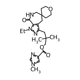 CCn1nc(CC(C)(C)COC(=O)c2cn(C)cn2)c2c1C(=O)NCC1(CCOCC1)C2